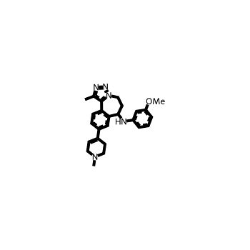 COc1cccc(NC2CCn3nnc(C)c3-c3ccc(C4=CCN(C)CC4)cc32)c1